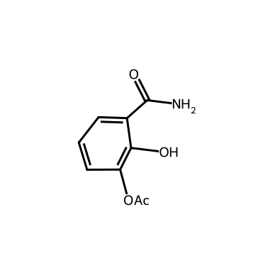 CC(=O)Oc1cccc(C(N)=O)c1O